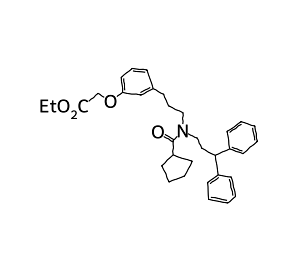 CCOC(=O)COc1cccc(CCCN(CCC(c2ccccc2)c2ccccc2)C(=O)C2CCCC2)c1